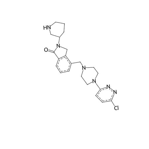 O=C1c2cccc(CN3CCN(c4ccc(Cl)nn4)CC3)c2CN1C1CCCNC1